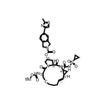 Cc1nc(-c2ccc3c(c2)CN(C(=O)O[C@@H]2C[C@H]4C(=O)N[C@]5(C(=O)NS(=O)(=O)C6CC6)C[C@H]5/C=C/CCCCC[C@H](NC(=O)OC(C)(C)C)C(=O)N4C2)C3)cs1